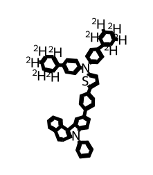 [2H]c1c([2H])c([2H])c(-c2ccc(N(c3ccc(-c4c([2H])c([2H])c([2H])c([2H])c4[2H])cc3)c3ccc(-c4ccc(-c5ccc6c(c5)c5c7ccccc7ccc5n6-c5ccccc5)cc4)s3)cc2)c([2H])c1[2H]